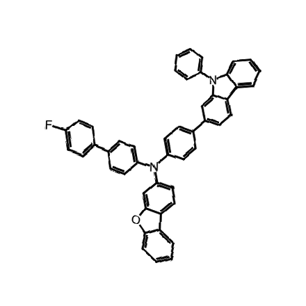 Fc1ccc(-c2ccc(N(c3ccc(-c4ccc5c6ccccc6n(-c6ccccc6)c5c4)cc3)c3ccc4c(c3)oc3ccccc34)cc2)cc1